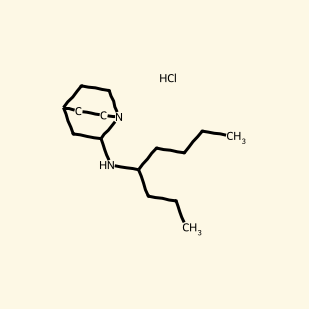 CCCCC(CCC)NC1CC2CCN1CC2.Cl